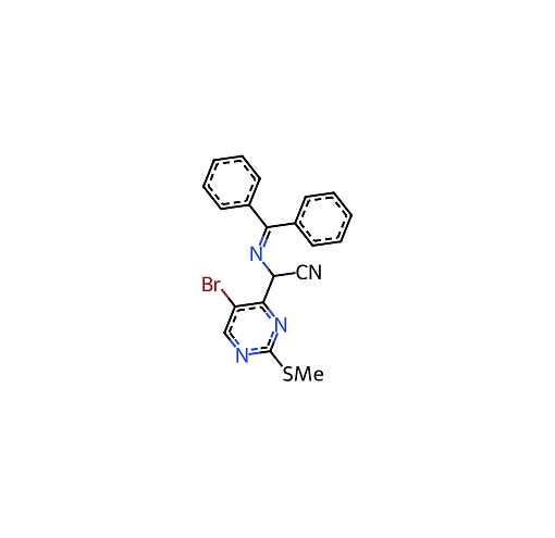 CSc1ncc(Br)c(C(C#N)N=C(c2ccccc2)c2ccccc2)n1